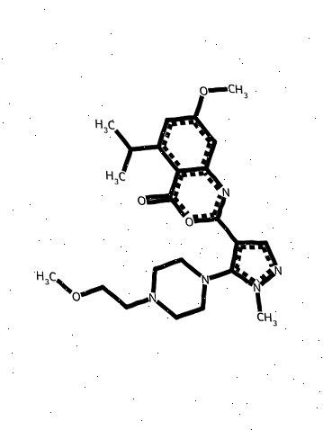 COCCN1CCN(c2c(-c3nc4cc(OC)cc(C(C)C)c4c(=O)o3)cnn2C)CC1